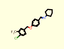 FC(F)(F)c1cc(COc2ccc(/C=N/C3CCCCC3)cc2)ccc1Cl